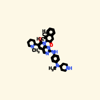 CN1CCCCC1c1cc2cnc(Nc3ccc(N(C)C4CCNCC4)cc3)nc2n(C2C(=O)Cc3ccccc3C2(C)C)c1=O